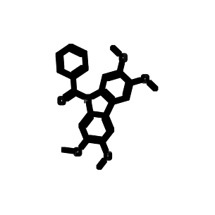 COc1cc2c3cc(OC)c(OC)cc3n(C(=O)c3ccccc3)c2cc1OC